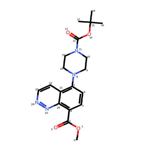 COC(=O)c1ccc(N2CCN(C(=O)OC(C)(C)C)CC2)c2ccnnc12